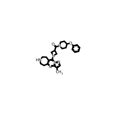 Cc1cnn2c(N3CC(C(=O)N4CCC(Oc5ccccc5)CC4)C3)c3c(nc12)CCNCC3